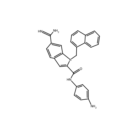 N=C(N)c1ccc2cc(C(=O)Nc3ccc(N)cc3)n(Cc3cccc4ccccc34)c2c1